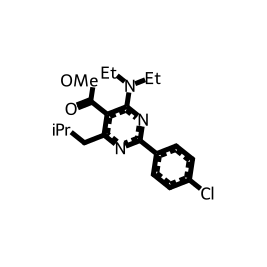 CCN(CC)c1nc(-c2ccc(Cl)cc2)nc(CC(C)C)c1C(=O)OC